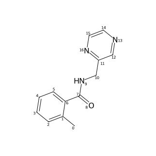 Cc1ccccc1C(=O)NCc1cnccn1